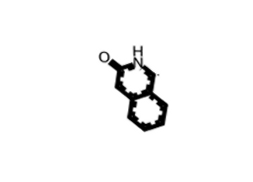 O=c1cc2ccccc2[c][nH]1